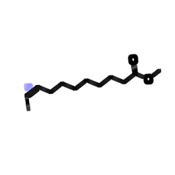 C/C=C\CCCCCCCC(=O)OC